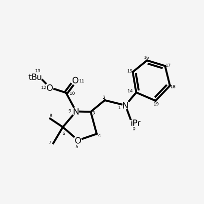 CC(C)N(CC1COC(C)(C)N1C(=O)OC(C)(C)C)c1ccccc1